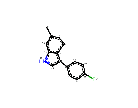 Cc1ccc2c(-c3ccc(F)cc3)c[nH]c2c1